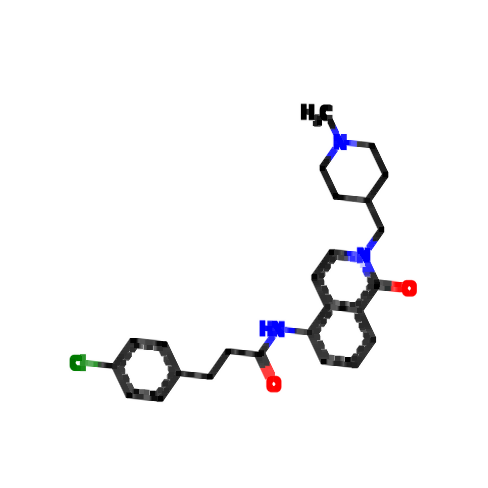 CN1CCC(Cn2ccc3c(NC(=O)CCc4ccc(Cl)cc4)cccc3c2=O)CC1